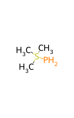 CS(C)(C)P